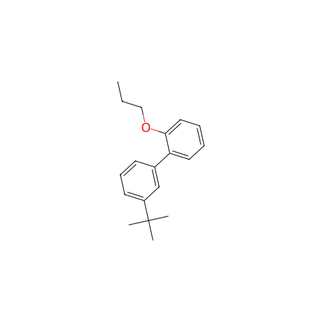 CCCOc1ccccc1-c1cccc(C(C)(C)C)c1